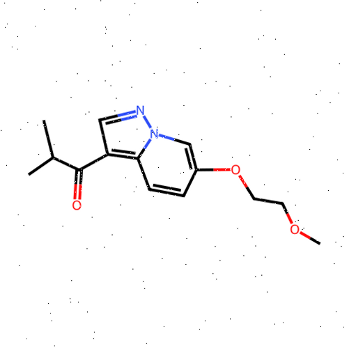 COCCOc1ccc2c(C(=O)C(C)C)cnn2c1